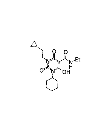 CCNC(=O)c1c(O)n(C2CCCCC2)c(=O)n(CCC2CC2)c1=O